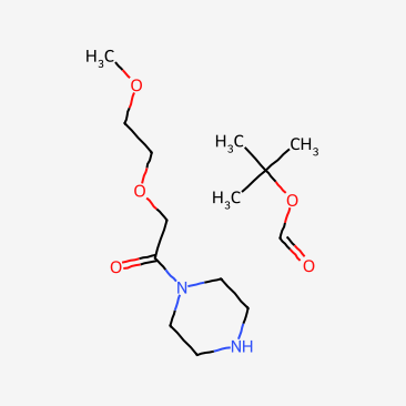 CC(C)(C)OC=O.COCCOCC(=O)N1CCNCC1